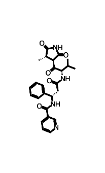 CC(C)[C@H](NC(=O)C[C@H](NC(=O)c1cccnc1)c1ccccc1)C(=O)[C@@H]1C(=O)NC(=O)[C@H]1C